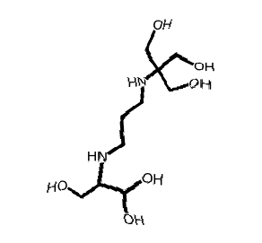 OCC(NCCCNC(CO)(CO)CO)C(O)O